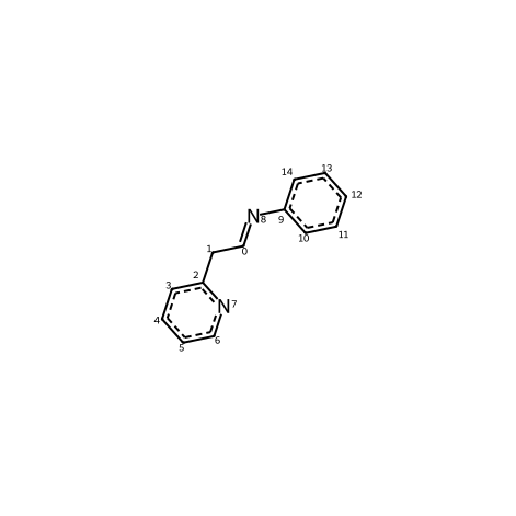 C(Cc1ccccn1)=Nc1ccccc1